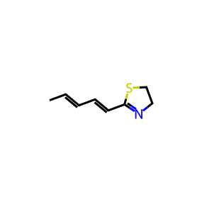 CC=CC=CC1=NCCS1